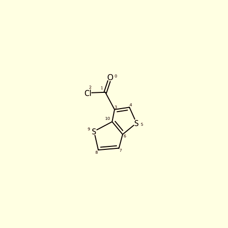 O=C(Cl)c1csc2ccsc12